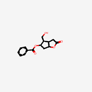 O=C1CC2C(CC(OC(=O)c3ccccc3)C2CO)O1